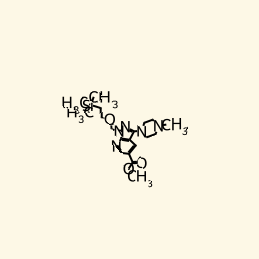 COC(=O)c1cnc2c(c1)c(N1CCN(C)CC1)nn2COCC[Si](C)(C)C